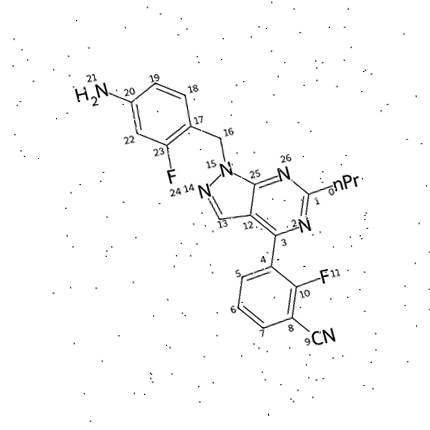 CCCc1nc(-c2cccc(C#N)c2F)c2cnn(Cc3ccc(N)cc3F)c2n1